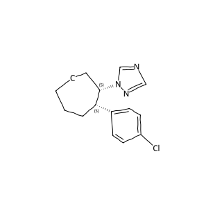 Clc1ccc([C@@H]2CCCCC[C@@H]2n2cncn2)cc1